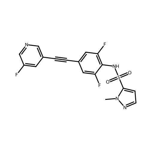 Cn1nccc1S(=O)(=O)Nc1c(F)cc(C#Cc2cncc(F)c2)cc1F